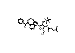 CC(=O)CCC(=O)O[C@H]1[C@@H](O[Si](C)(C)C(C)(C)C)[C@H](n2cc3c4c(ncnc42)N(C(=O)c2ccccc2)CCC3)O[C@@H]1CO